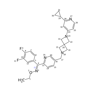 CCO/N=C(\c1ccc(F)c(F)c1)c1ccc(CN2CC3(C2)CN(c2ccnc(C4CC4)c2)C3)cn1